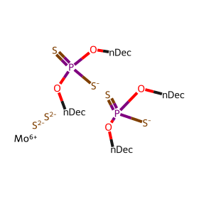 CCCCCCCCCCOP(=S)([S-])OCCCCCCCCCC.CCCCCCCCCCOP(=S)([S-])OCCCCCCCCCC.[Mo+6].[S-2].[S-2]